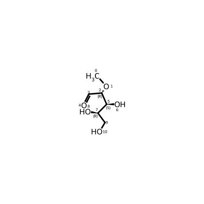 CO[C@@H](C=O)[C@@H](O)[C@H](O)CO